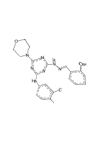 Cc1ccc(Nc2nc(N/N=C/c3ccccc3O)nc(N3CCOCC3)n2)cc1Cl